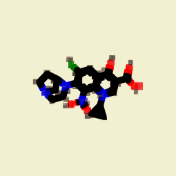 O=C(O)c1cn(C2CC2)c2c([N+](=O)[O-])c(N3CCN4CCC3C4)c(F)cc2c1=O